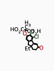 CCC12CCC(=O)C=C1c1c(cc(OC(C)(C(=O)O)C(=O)O)c(Cl)c1Cl)C2